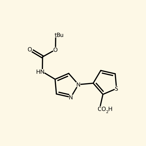 CC(C)(C)OC(=O)Nc1cnn(-c2ccsc2C(=O)O)c1